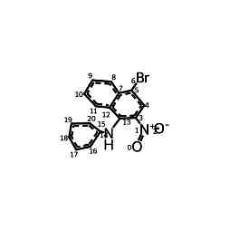 O=[N+]([O-])c1cc(Br)c2ccccc2c1Nc1ccccc1